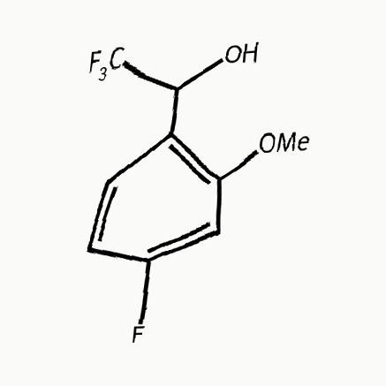 COc1cc(F)ccc1C(O)C(F)(F)F